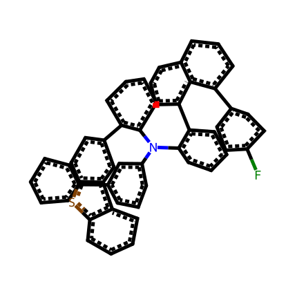 Fc1ccc(-c2cccc3cccc(-c4ccccc4N(c4cccc(-c5ccccc5)c4)c4ccccc4-c4ccc5sc6ccccc6c5c4)c23)cc1